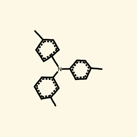 Cc1[c]ccc(N(c2ccc(C)cc2)c2ccc(C)cc2)c1